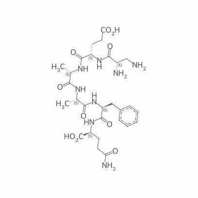 C[C@H](NC(=O)[C@H](C)NC(=O)[C@H](CCC(=O)O)NC(=O)[C@@H](N)CN)C(=O)N[C@@H](Cc1ccccc1)C(=O)N[C@@H](CCC(N)=O)C(=O)O